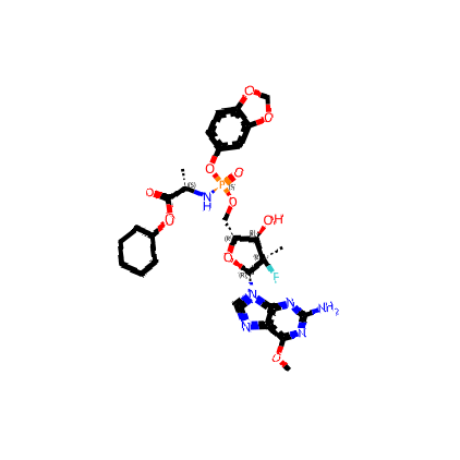 COc1nc(N)nc2c1ncn2[C@@H]1O[C@H](CO[P@@](=O)(N[C@@H](C)C(=O)OC2CCCCC2)Oc2ccc3c(c2)OCO3)[C@@H](O)[C@@]1(C)F